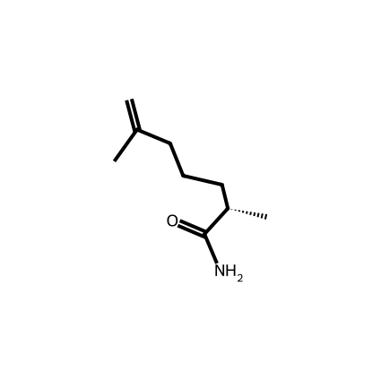 C=C(C)CCC[C@H](C)C(N)=O